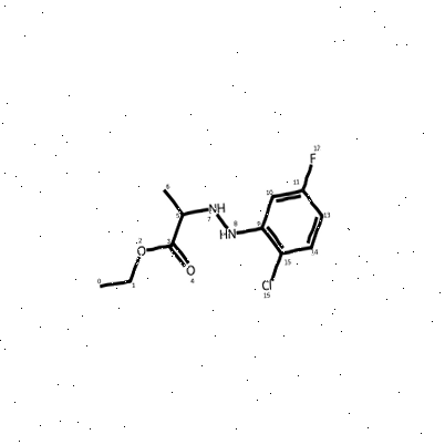 CCOC(=O)C(C)NNc1cc(F)ccc1Cl